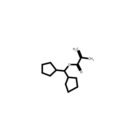 C=C(C)C(=O)OC(C1CCCC1)C1CCCC1